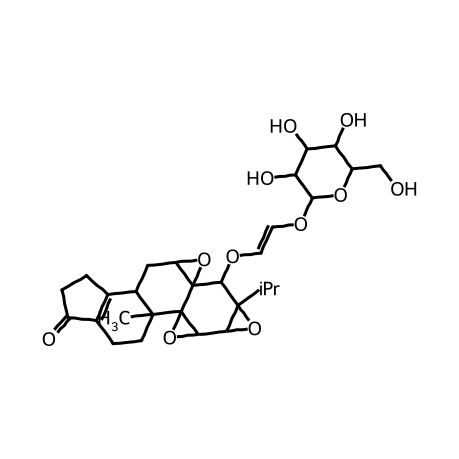 CC(C)C12OC1C1OC13C1(C)CCC4=C(CCC4=O)C1CC1OC13C2OC=COC1OC(CO)C(O)C(O)C1O